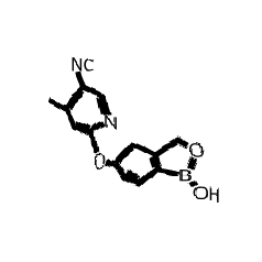 [C-]#[N+]c1cnc(Oc2ccc3c(c2)COB3O)cc1C